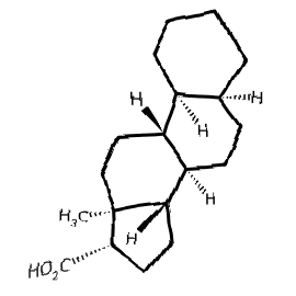 C[C@]12CC[C@H]3[C@@H](CC[C@@H]4CCCC[C@@H]43)[C@@H]1CC[C@@H]2C(=O)O